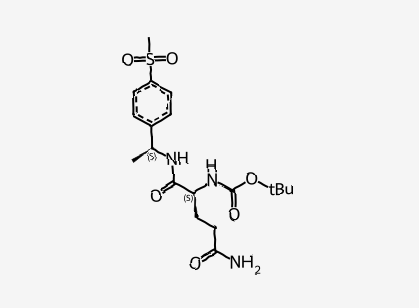 C[C@H](NC(=O)[C@H](CCC(N)=O)NC(=O)OC(C)(C)C)c1ccc(S(C)(=O)=O)cc1